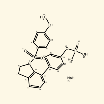 COc1ccc(S(=O)(=O)N2CCc3cccc(-c4ccc(OP(=O)(O)O)cc4)c32)cc1.[NaH]